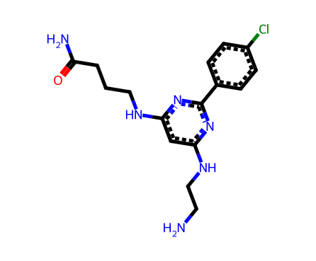 NCCNc1cc(NCCCC(N)=O)nc(-c2ccc(Cl)cc2)n1